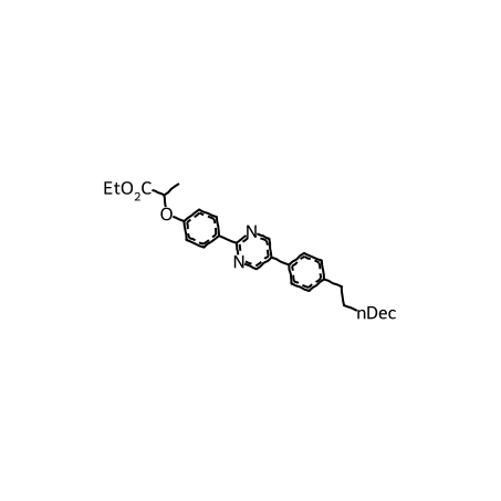 CCCCCCCCCCCCc1ccc(-c2cnc(-c3ccc(OC(C)C(=O)OCC)cc3)nc2)cc1